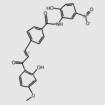 COc1ccc(C(=O)/C=C/c2ccc(C(=O)Nc3cc([N+](=O)[O-])ccc3O)cc2)c(O)c1